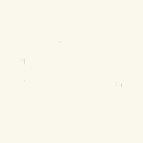 Fc1cc(Br)ccc1OP